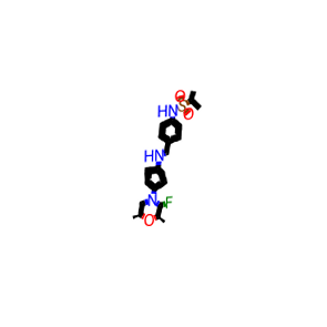 CC(C)S(=O)(=O)Nc1ccc(CNc2ccc(N3C[C@H](C)O[C@H](C)C3F)cc2)cc1